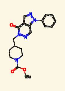 CC(C)(C)OC(=O)N1CCC(Cn2ncc3c(cnn3-c3ccccc3)c2=O)CC1